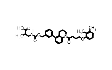 Cc1cccc(OCCCC(=O)N2CCCc3c(-c4cccc(COC(=O)NCC(C)C(=O)O)c4)cccc32)c1C